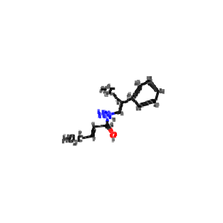 CC(CNC(=O)/C=C/C(=O)O)c1ccccc1